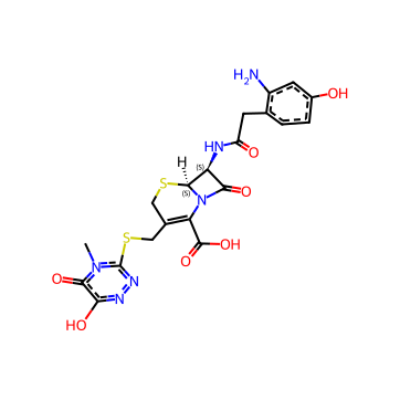 Cn1c(SCC2=C(C(=O)O)N3C(=O)[C@H](NC(=O)Cc4ccc(O)cc4N)[C@@H]3SC2)nnc(O)c1=O